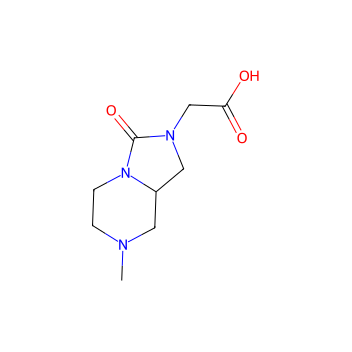 CN1CCN2C(=O)N(CC(=O)O)CC2C1